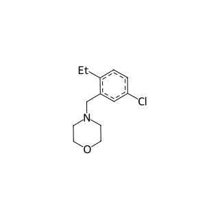 CCc1ccc(Cl)cc1CN1CCOCC1